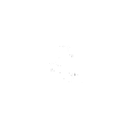 NC(=O)c1cc(S(=O)(=O)Nc2cccc(NS(=O)(=O)C3CC3)c2)ccc1O